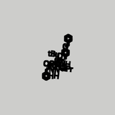 COC(=O)[C@H](Cc1ccccc1)NC(=O)NC(CC(C)C)C(=O)N[C@@H](Cc1ccc(OCc2ccccc2)cc1)C(=O)OC(C)(C)C